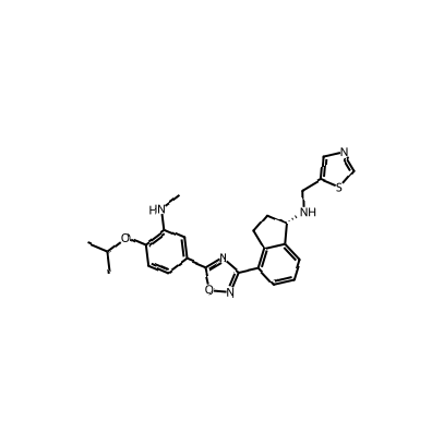 CNc1cc(-c2nc(-c3cccc4c3CC[C@@H]4NCc3cncs3)no2)ccc1OC(C)C